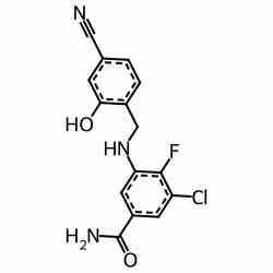 N#Cc1ccc(CNc2cc(C(N)=O)cc(Cl)c2F)c(O)c1